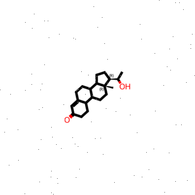 CC(O)[C@@H]1CCC2C3CCC4=CC(=O)CCC4C3CC[C@]21C